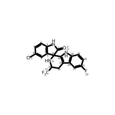 O=C1Nc2ccc(Cl)cc2C12NC(C(F)(F)F)Cc1c2[nH]c2ccc(F)cc12